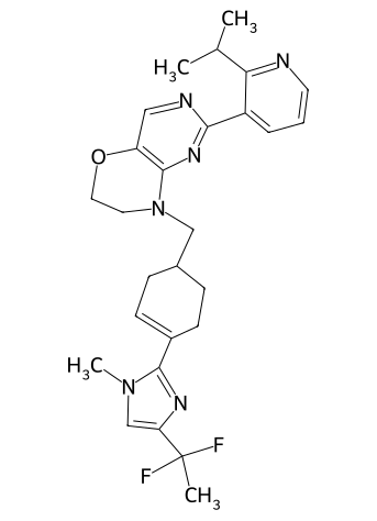 CC(C)c1ncccc1-c1ncc2c(n1)N(CC1CC=C(c3nc(C(C)(F)F)cn3C)CC1)CCO2